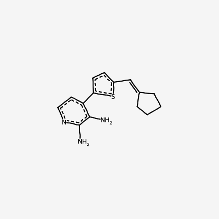 Nc1nccc(-c2ccc(C=C3CCCC3)s2)c1N